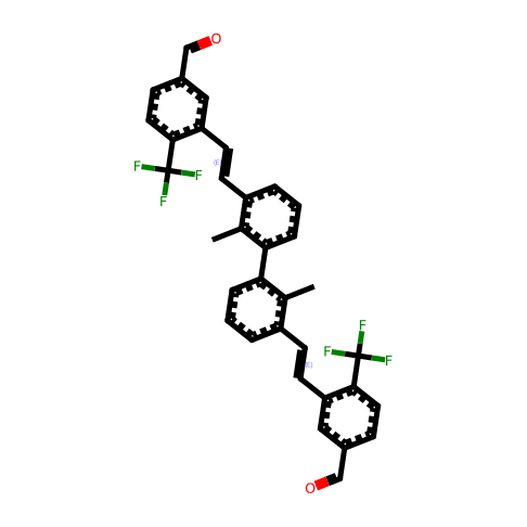 Cc1c(/C=C/c2cc(C=O)ccc2C(F)(F)F)cccc1-c1cccc(/C=C/c2cc(C=O)ccc2C(F)(F)F)c1C